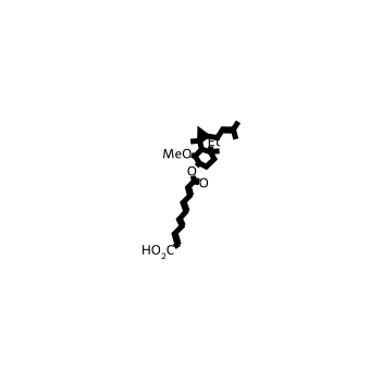 CCC1(C)CCC(OC(=O)/C=C/C=C/C=C/C=C/C(=O)O)C(OC)C1C1(C)CC1CC=C(C)C